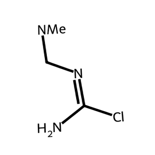 CNC/N=C(\N)Cl